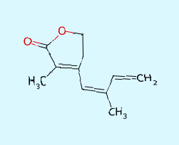 C=C/C(C)=C\C1=C(C)C(=O)OCC1